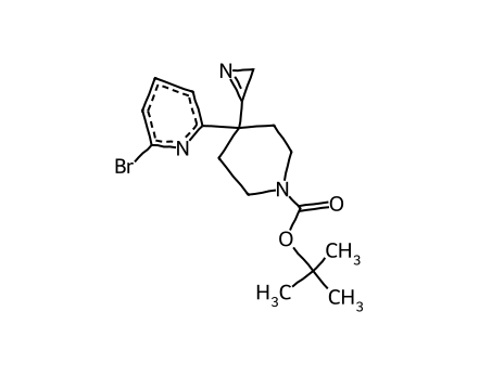 CC(C)(C)OC(=O)N1CCC(C2=NC2)(c2cccc(Br)n2)CC1